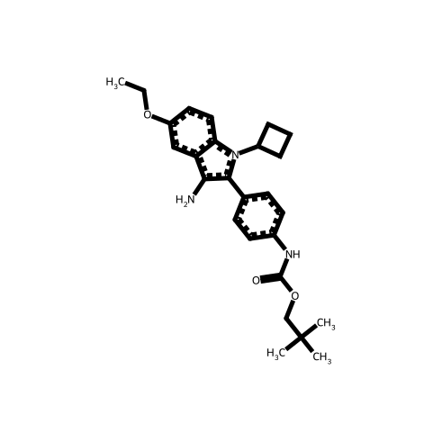 CCOc1ccc2c(c1)c(N)c(-c1ccc(NC(=O)OCC(C)(C)C)cc1)n2C1CCC1